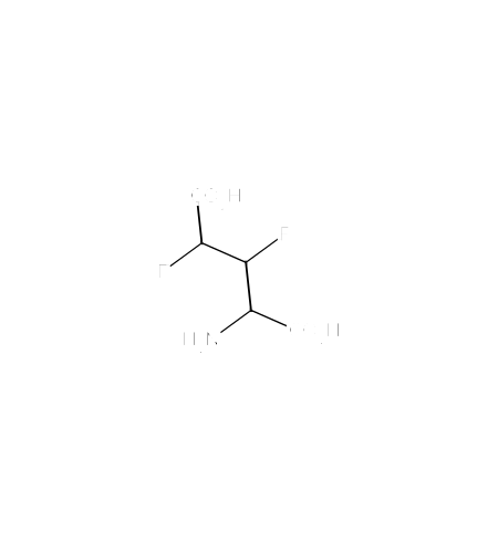 NC(C(=O)O)C(F)C(F)C(=O)O